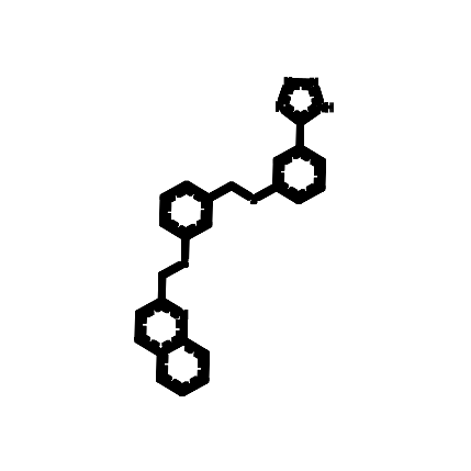 c1cc(CSc2cccc(-c3nnn[nH]3)c2)cc(SCc2ccc3ccccc3n2)c1